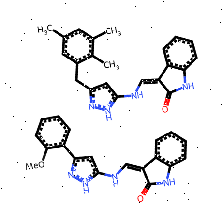 COc1ccccc1-c1cc(NC=C2C(=O)Nc3ccccc32)[nH]n1.Cc1cc(C)c(C)c(Cc2cc(NC=C3C(=O)Nc4ccccc43)[nH]n2)c1